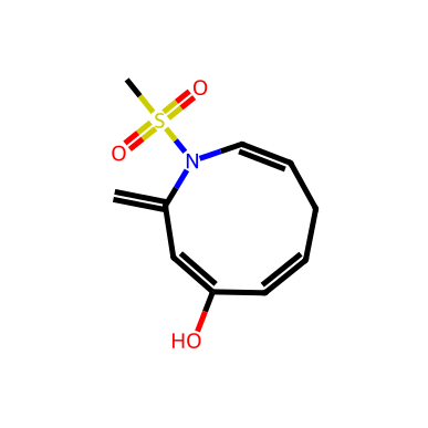 C=C1/C=C(O)\C=C/C/C=C\N1S(C)(=O)=O